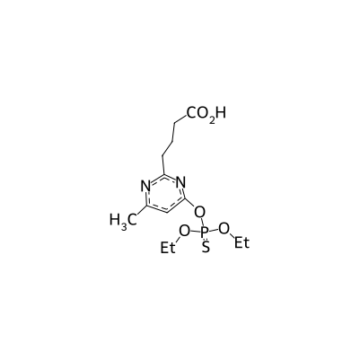 CCOP(=S)(OCC)Oc1cc(C)nc(CCCC(=O)O)n1